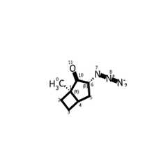 C[C@@]12CCC1C[C@@H](N=[N+]=[N-])C2=O